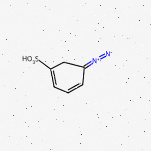 [N-]=[N+]=C1C=CC=C(S(=O)(=O)O)C1